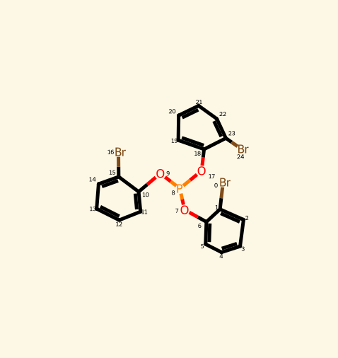 Brc1ccccc1OP(Oc1ccccc1Br)Oc1ccccc1Br